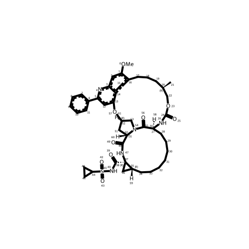 COc1cc2nc(-c3ccccc3)cc3c2cc1CCC[C@@H](C)COC(=O)N[C@H]1CCCCCCC[C@@H]2C[C@@]2(C(=O)NS(=O)(=O)C2CC2)NC(=O)[C@@H]2C[C@H](CN2C1=O)O3